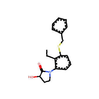 CCc1c(SCc2ccccc2)cccc1N1CCC(O)C1=O